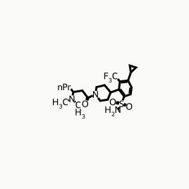 CCCC(CC(=O)N1CCC(c2c(S(N)(=O)=O)ccc(C3CC3)c2C(F)(F)F)CC1)N(C)C